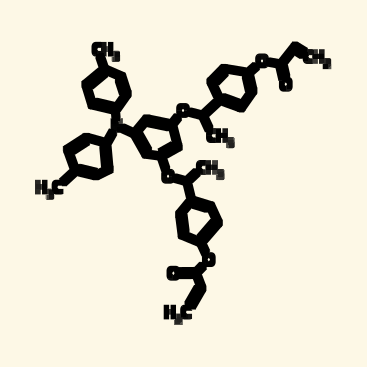 C=CC(=O)Oc1ccc(C(C)Oc2cc(OC(C)c3ccc(OC(=O)C=C)cc3)cc(N(c3ccc(C)cc3)c3ccc(C)cc3)c2)cc1